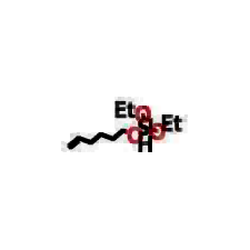 C=CCCCCO[SiH](OCC)OCC